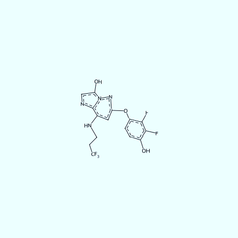 Oc1ccc(Oc2cc(NCCC(F)(F)F)c3ncc(O)n3n2)c(F)c1F